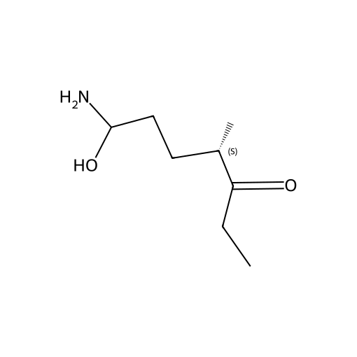 CCC(=O)[C@@H](C)CCC(N)O